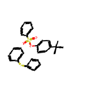 CC(C)(C)c1ccc(OS(=O)(=O)c2ccccc2)cc1.c1ccc(Sc2ccccc2)cc1